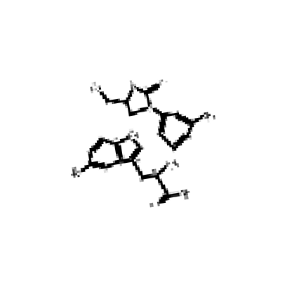 Cc1cccc(N2CC(CO)OC2=O)c1.NC(Cc1c[nH]c2ccc(O)cc12)C(=O)O